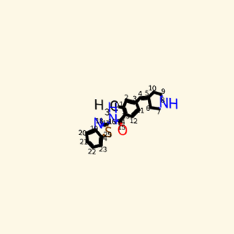 Cc1cc(C=C2CCNCC2)ccc1C(=O)Nc1nc2ccccc2s1